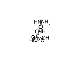 N=C(N)c1ccc(NC(=O)CCC2C(=O)NCCN2CC(=O)O)cc1